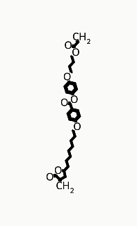 C=CC(=O)OCCCCOc1ccc(OC(=O)c2ccc(OCCCCCCCCC3CC(=C)C(=O)O3)cc2)cc1